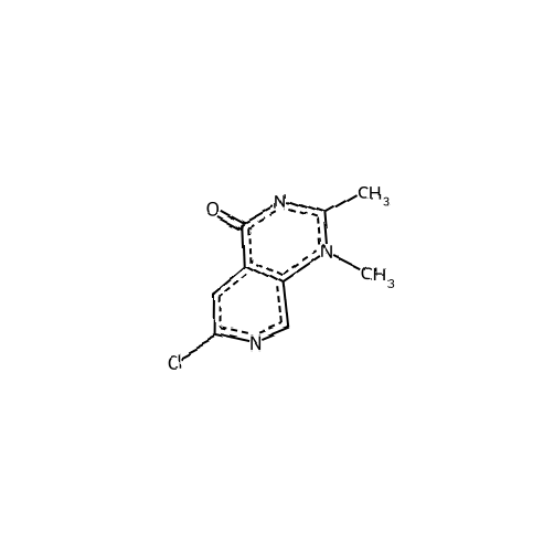 Cc1nc(=O)c2cc(Cl)ncc2n1C